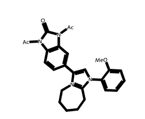 COc1ccccc1-n1cc(-c2ccc3c(c2)n(C(C)=O)c(=O)n3C(C)=O)[n+]2c1CCCCC2